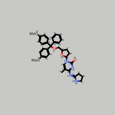 COc1ccc(C(OCC2CCC(n3cc(C)c(/N=C4\CCCN4)nc3=O)O2)(c2ccccc2)c2ccc(OC)cc2)cc1